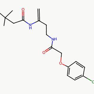 C=C(CCNC(=O)COc1ccc(Cl)cc1)NC(=O)CC(C)(C)C